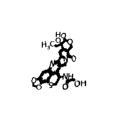 CC[C@@]1(O)C(=O)OCc2c1cc1n(c2=O)Cc2c-1nc1cc3c(c4c1c2[C@@H](NC(=O)CO)CS4)OCO3